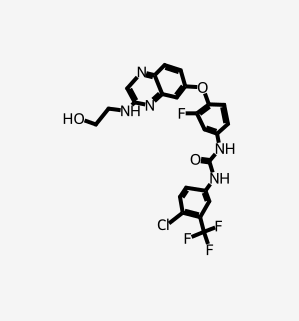 O=C(Nc1ccc(Oc2ccc3ncc(NCCO)nc3c2)c(F)c1)Nc1ccc(Cl)c(C(F)(F)F)c1